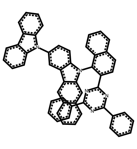 c1ccc(-c2nc(-c3ccccc3)nc(-c3ccc4ccccc4c3-n3c4ccc(-n5c6ccccc6c6ccccc65)cc4c4cc5ccccc5cc43)n2)cc1